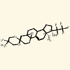 CC1(C)COC2(CCC34OC3(CCC3C4=CC[C@@]4(C)C3CC[C@@]4(O)C(F)(F)C(F)(F)F)C2)OC1